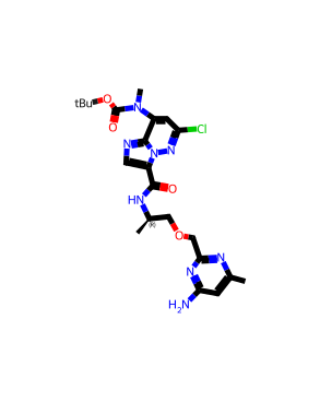 Cc1cc(N)nc(COC[C@@H](C)NC(=O)c2cnc3c(N(C)C(=O)OC(C)(C)C)cc(Cl)nn23)n1